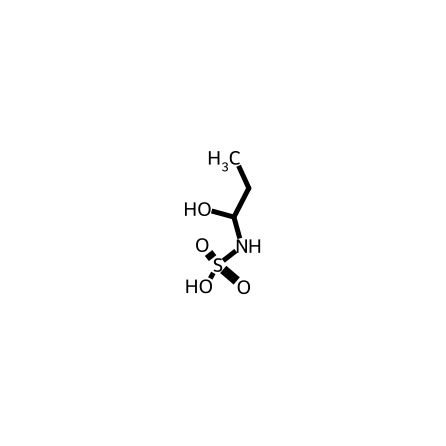 CCC(O)NS(=O)(=O)O